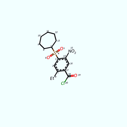 CCc1cc(S(=O)(=O)C2CCCCCC2)c([N+](=O)[O-])cc1C(=O)Cl